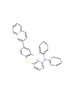 c1ccc(N2c3ccccc3B3c4cc(-c5ccc6ccccc6c5)ccc4Sc4cccc2c43)cc1